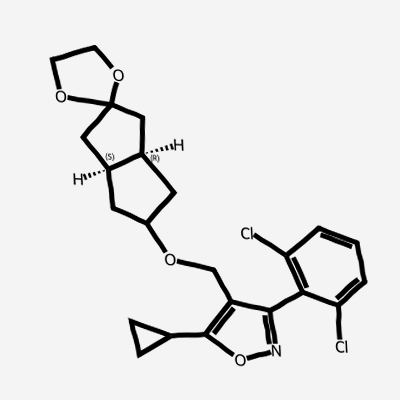 Clc1cccc(Cl)c1-c1noc(C2CC2)c1COC1C[C@@H]2CC3(C[C@@H]2C1)OCCO3